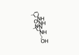 Cc1cccc(NC(=O)Nc2nc(C)cc(NCCCO)n2)c1